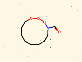 O=[C]N1CCCCCCCCOOO1